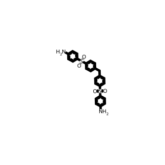 Nc1ccc(S(=O)(=O)c2ccc(Cc3ccc(S(=O)(=O)c4ccc(N)cc4)cc3)cc2)cc1